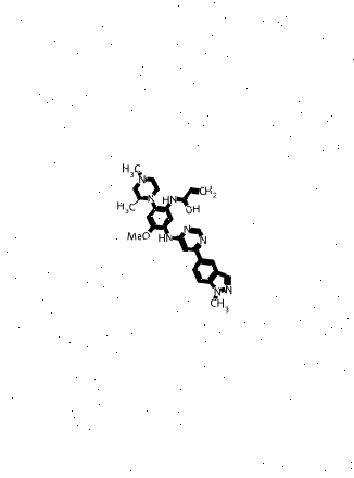 C=CC(O)Nc1cc(Nc2cc(-c3ccc4c(cnn4C)c3)ncn2)c(OC)cc1N1CCN(C)C[C@H]1C